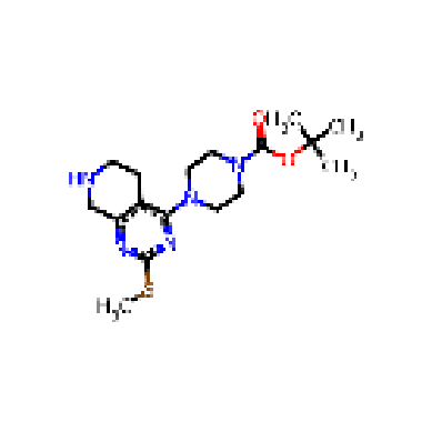 CSc1nc2c(c(N3CCN(C(=O)OC(C)(C)C)CC3)n1)CCNC2